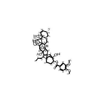 CCC[C@@H]1[C@]2(C[C@@]3(O)C[C@]2(C)CC[C@@H]3OC(=O)c2ccc(OC)c(OC)c2)C[C@@]2(O)[C@@H]3CN4C[C@@H](C)CC[C@H]4[C@@](C)(O)[C@@]3(O)[C@@H](O)C[C@@]12O